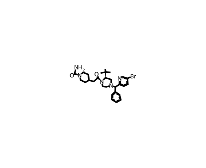 CC(C)(C)[C@H]1CN(C(c2ccccc2)c2ccc(Br)cn2)CCN1C(=O)CC1CCN(C(N)=O)CC1